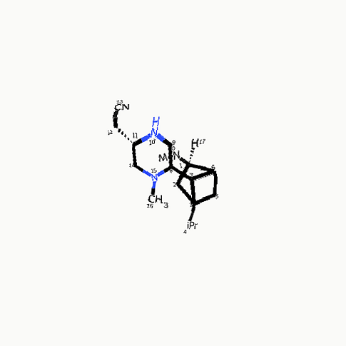 CN[C@@H]1CC2(C(C)C)CC1C2C1CN[C@@H](CC#N)CN1C